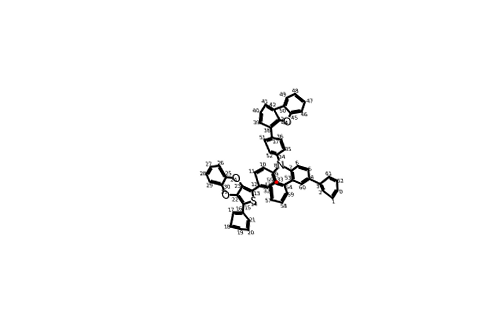 c1ccc(-c2ccc(N(c3ccc(-c4sc(-c5ccccc5)c5c4Oc4ccccc4O5)cc3)c3ccc(-c4cccc5c4oc4ccccc45)cc3)c(-c3ccccc3)c2)cc1